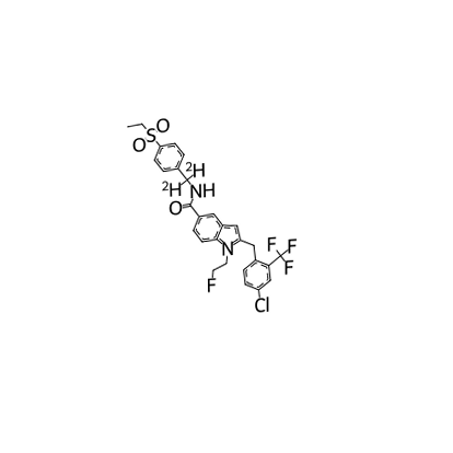 [2H]C([2H])(NC(=O)c1ccc2c(c1)cc(Cc1ccc(Cl)cc1C(F)(F)F)n2CCF)c1ccc(S(=O)(=O)CC)cc1